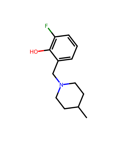 CC1CCN(Cc2cccc(F)c2O)CC1